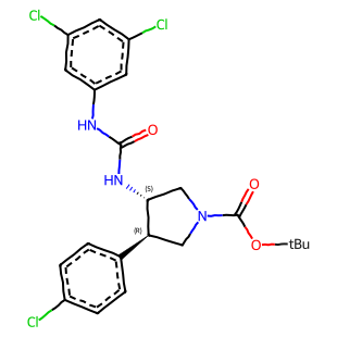 CC(C)(C)OC(=O)N1C[C@@H](NC(=O)Nc2cc(Cl)cc(Cl)c2)[C@H](c2ccc(Cl)cc2)C1